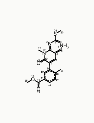 C=C(/N=C1\C(=C/N)C=C(c2cc(C(=O)OC)ccc2C)C(=O)N1C)SC